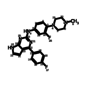 CN1CCN(c2ccc(Nc3nc(-c4ccc(F)cc4)c4cc[nH]c4n3)cc2F)CC1